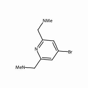 CNCc1cc(Br)cc(CNC)n1